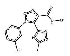 CCNC(=O)c1noc(-c2[c]c[c]c(C(C)C)c2)c1-c1noc(C)n1